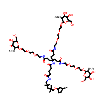 CC(=O)NC1C(OCCOCCOCCNC(=O)CCC(CCC(=O)NCCOCCOCCOC2OC(CO)C(O)C(O)C2NC(C)=O)(CCC(=O)NCCOCCOCCOC2OC(CO)C(O)C(O)C2NC(C)=O)NC(=O)CCCC(=O)NCC(C)(C)CC(C)(C)COC2CCC(C(C)C)C2)OC(CO)C(O)C1O